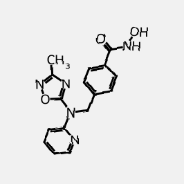 Cc1noc(N(Cc2ccc(C(=O)NO)cc2)c2ccccn2)n1